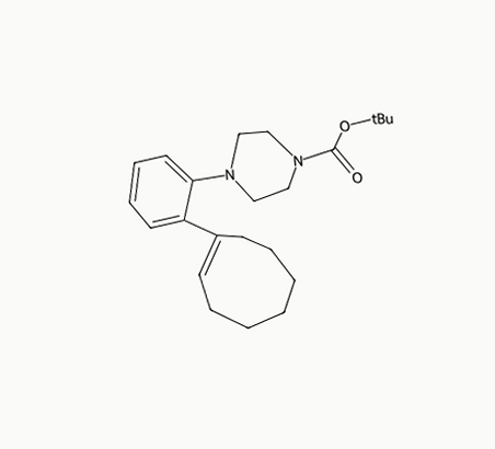 CC(C)(C)OC(=O)N1CCN(c2ccccc2C2=CCCCCCC2)CC1